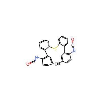 CCc1ccc(N=C=O)c(-c2ccccc2Sc2ccccc2-c2cc(CC)ccc2N=C=O)c1